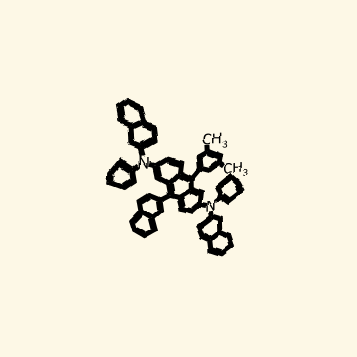 Cc1cc(C)cc(-c2c3ccc(N(C4=CC=C5C=CC=CC5C4)c4ccccc4)cc3c(-c3ccc4ccccc4c3)c3ccc(N(C4=CC=C5C=CCCC5C4)c4ccccc4)cc23)c1